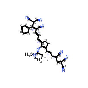 CCC(=NC1=C(/C=C/C=C(\C#N)C=C(C#N)C#N)CC\C1=C/C=C/C(C#N)=C(\c1ccccc1)C(C#N)C#N)N(C)C